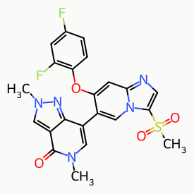 Cn1cc2c(=O)n(C)cc(-c3cn4c(S(C)(=O)=O)cnc4cc3Oc3ccc(F)cc3F)c2n1